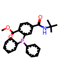 COC(=O)c1ccc(C(=O)NC(C)(C)C)cc1P(c1ccccc1)c1ccccc1